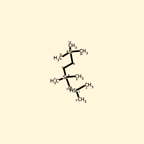 C[SiH](C)O[Si](C)(C)CC[Si](C)(C)C